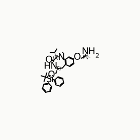 CC(C)[C@H]1C(=O)N[C@H](CO[Si](c2ccccc2)(c2ccccc2)C(C)(C)C)Cc2ccc(OC[C@@H](C)N)cc2N1C